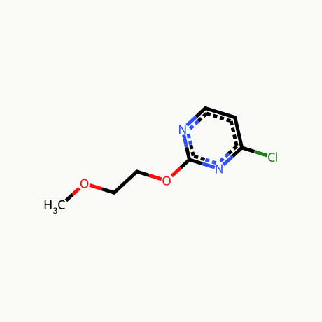 COCCOc1nccc(Cl)n1